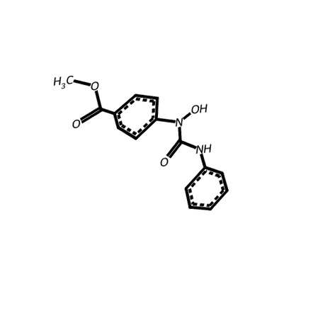 COC(=O)c1ccc(N(O)C(=O)Nc2ccccc2)cc1